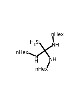 CCCCCCNC([SiH3])(NCCCCCC)NCCCCCC